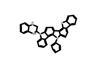 c1ccc(-n2c3ccc4c5ccccc5oc4c3c3ccc4c(c5ccccc5n4C4CNc5ccccc5N4)c32)cc1